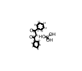 O=C(CC(=O)c1ccccc1)c1ccccc1.OB(O)O